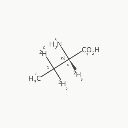 [2H]C([2H])(C)[C@]([2H])(N)C(=O)O